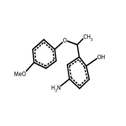 COc1ccc(OC(C)c2cc(N)ccc2O)cc1